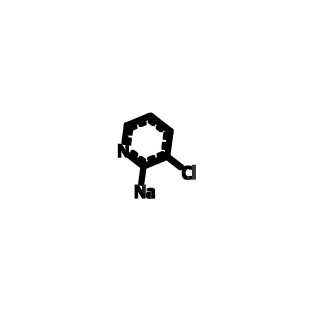 [Na][c]1ncccc1Cl